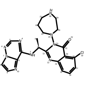 C[C@H](Nc1ncnn2ccnc12)c1nc2cccc(Cl)c2c(=O)n1N1CCCNCC1